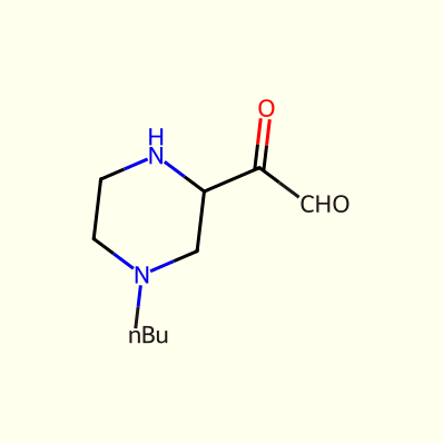 CCCCN1CCNC(C(=O)C=O)C1